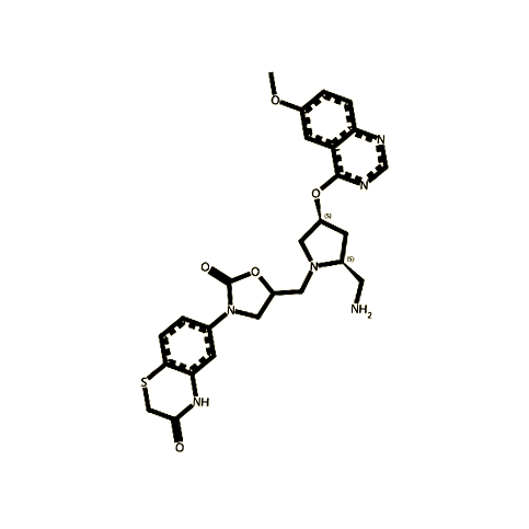 COc1ccc2ncnc(O[C@H]3C[C@@H](CN)N(CC4CN(c5ccc6c(c5)NC(=O)CS6)C(=O)O4)C3)c2c1